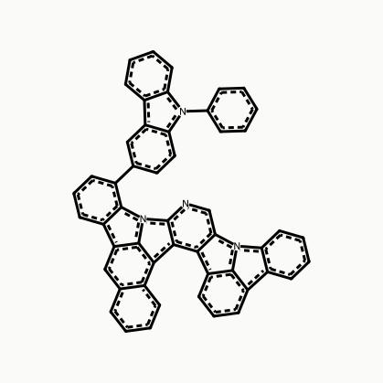 c1ccc(-n2c3ccccc3c3cc(-c4cccc5c6cc7ccccc7c7c8c9c%10cccc%11c%12ccccc%12n(c9cnc8n(c45)c67)c%11%10)ccc32)cc1